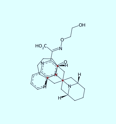 O=C(O)/C(=N\OCCO)c1nc2ccccc2n(C2C[C@H]3CCC[C@@H](C2)N3C2C[C@H]3CCCC[C@@H](C2)C3)c1=O